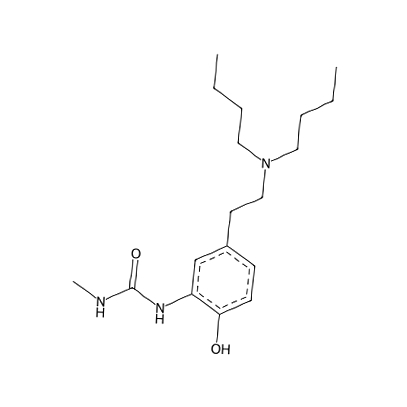 CCCCN(CCCC)CCc1ccc(O)c(NC(=O)NC)c1